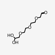 O=CCOCCOCCOCC(O)O